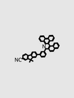 CC1(C)c2cc(C#N)ccc2-c2ccc(-c3cccc(-c4nc5c6ccccc6c6ccccc6c5c5c4ccc4ccccc45)c3)cc21